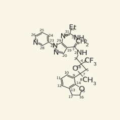 C=C(NCC1(C(F)(F)F)CC(C)(c2cccc3c2OCC3)O1)c1cnn(-c2cccnc2)c1/N=C(\N)CC